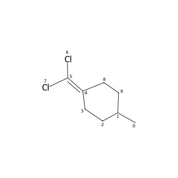 CC1CCC(=C(Cl)Cl)CC1